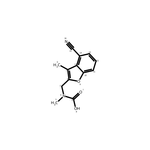 Cc1c(CN(C)C(=O)O)oc2cccc(C#N)c12